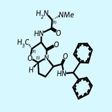 CN[C@@H](N)C(=O)NC1C(=O)N2C(C(=O)NC(c3ccccc3)c3ccccc3)CC[C@@H]2O[C@@H]1C